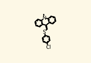 CN1c2ccccc2C(=CSc2ccc(Cl)cc2)c2ccccc21